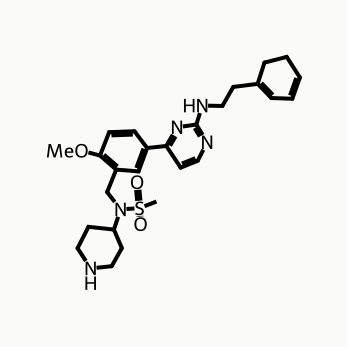 COc1ccc(-c2ccnc(NCCC3=CC=CCC3)n2)cc1CN(C1CCNCC1)S(C)(=O)=O